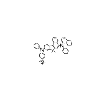 CC1(C)c2cc(N(c3ccccc3)c3ccc([Si](C)(C)C)cc3)ccc2-c2c1cc(N(c1ccccc1)c1cccc3ccccc13)c1ccccc21